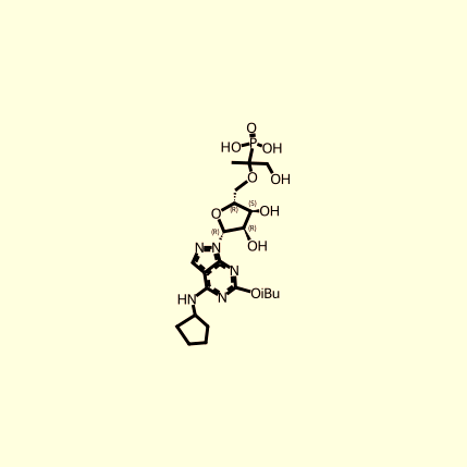 CC(C)COc1nc(NC2CCCC2)c2cnn([C@@H]3O[C@H](COC(C)(CO)P(=O)(O)O)[C@@H](O)[C@H]3O)c2n1